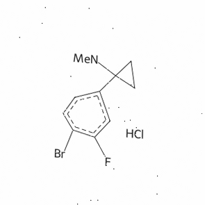 CNC1(c2ccc(Br)c(F)c2)CC1.Cl